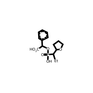 CCC(C1CCCO1)P(=O)(O)OC(C(=O)O)c1ccccc1